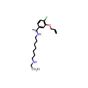 C=CCOc1cc([C@H](C)NCCCCCCCNCC(=O)OCC)ccc1F